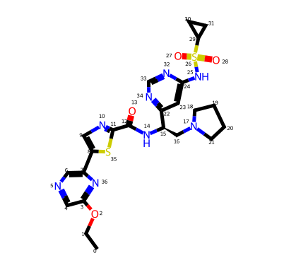 CCOc1cncc(-c2cnc(C(=O)N[C@H](CN3CCCC3)c3cc(NS(=O)(=O)C4CC4)ncn3)s2)n1